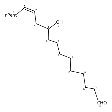 CCCCC/C=C\CC(O)CCCCCCCCC=O